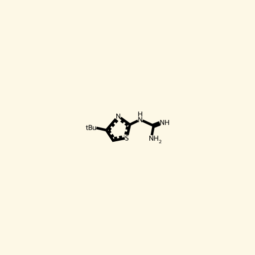 CC(C)(C)c1csc(NC(=N)N)n1